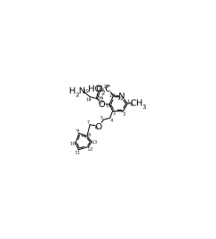 Cc1cc(CCOCc2ccccc2)c(OC(=O)CN)c(C(=O)O)n1